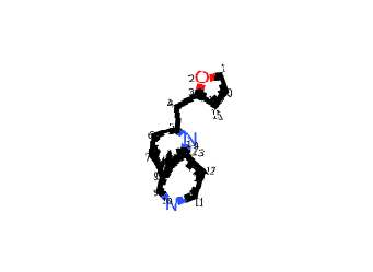 c1coc(Cc2ccc3cnccc3n2)c1